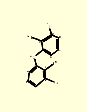 Ic1cccc(Oc2cccc(I)c2I)c1I